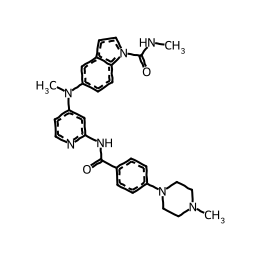 CNC(=O)n1ccc2cc(N(C)c3ccnc(NC(=O)c4ccc(N5CCN(C)CC5)cc4)c3)ccc21